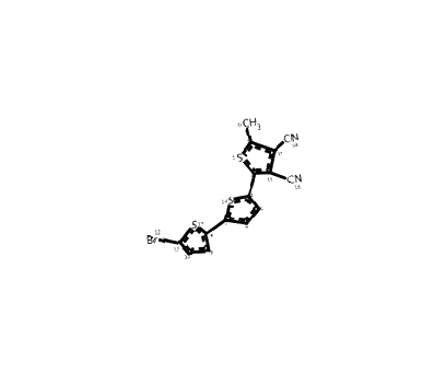 Cc1sc(-c2ccc(-c3ccc(Br)s3)s2)c(C#N)c1C#N